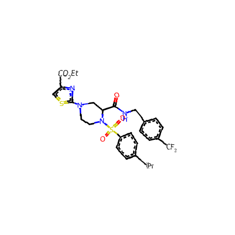 CCOC(=O)c1csc(N2CCN(S(=O)(=O)c3ccc(C(C)C)cc3)C(C(=O)NCc3ccc(C(F)(F)F)cc3)C2)n1